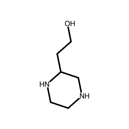 OCCC1CNCCN1